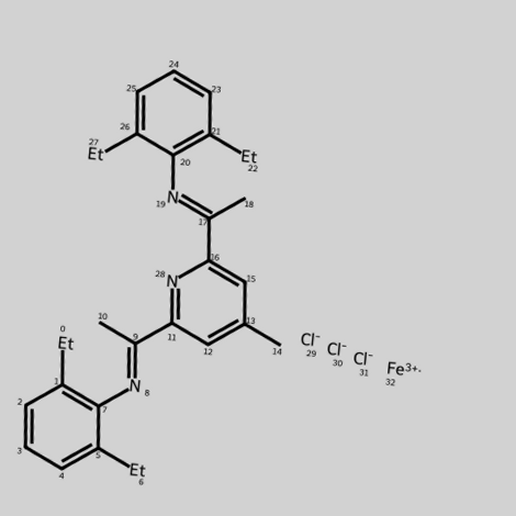 CCc1cccc(CC)c1N=C(C)c1cc(C)cc(C(C)=Nc2c(CC)cccc2CC)n1.[Cl-].[Cl-].[Cl-].[Fe+3]